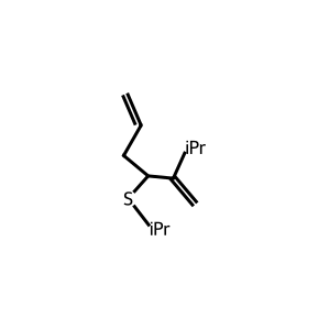 C=CCC(SC(C)C)C(=C)C(C)C